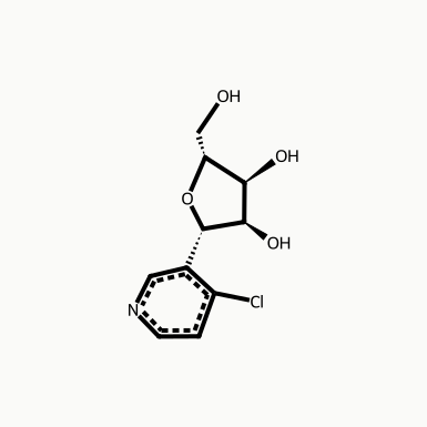 OC[C@H]1O[C@@H](c2cnccc2Cl)[C@H](O)[C@@H]1O